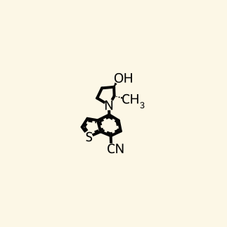 C[C@H]1[C@H](O)CCN1c1ccc(C#N)c2sccc12